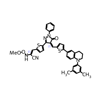 COON/C(C#N)=C/c1ccc(C2=NN(c3ccccc3)C(=O)/C2=C\c2ccc(-c3ccc4c(c3)CCCN4c3cc(C)cc(C)c3)s2)s1